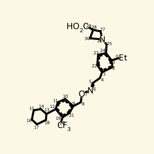 CCc1cc(C/C=N/OCc2ccc(C3CCCCC3)c(C(F)(F)F)c2)ccc1CN1CC(C(=O)O)C1